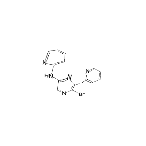 Brc1ncc(Nc2ccccn2)nc1-c1ccccn1